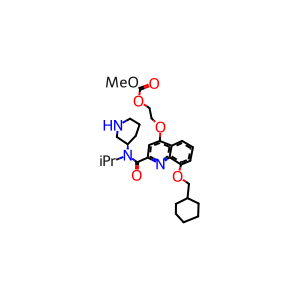 COC(=O)OCCOc1cc(C(=O)N(C(C)C)[C@@H]2CCCNC2)nc2c(OCC3CCCCC3)cccc12